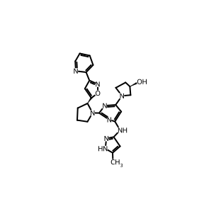 Cc1cc(Nc2cc(N3CC[C@@H](O)C3)nc(N3CCC[C@H]3c3cc(-c4ccccn4)no3)n2)n[nH]1